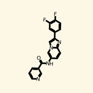 O=C(Nc1ccc2nc(-c3ccc(F)c(F)c3)cn2c1)c1cccnc1